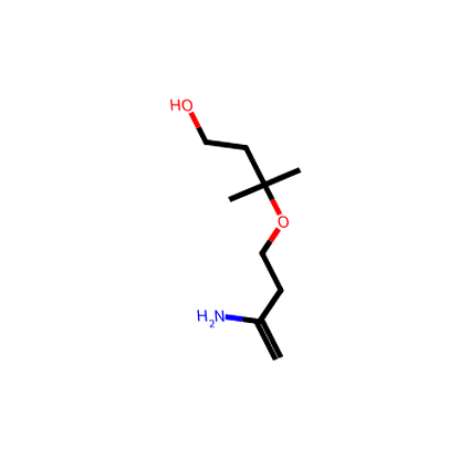 C=C(N)CCOC(C)(C)CCO